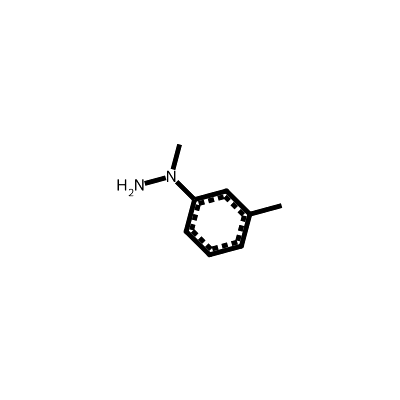 Cc1cccc(N(C)N)c1